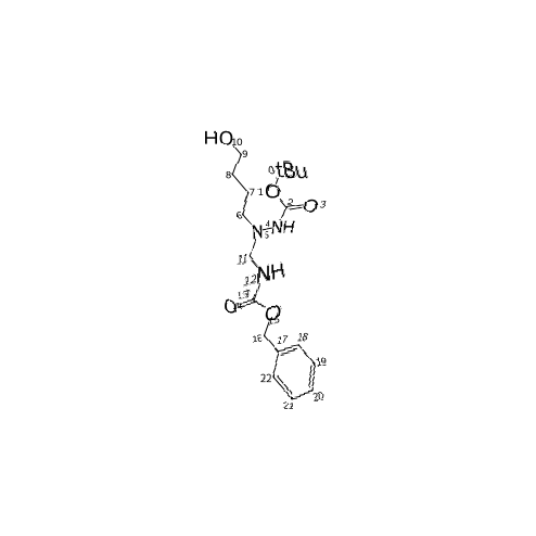 CC(C)(C)OC(=O)NN(CCCCO)CNC(=O)OCc1ccccc1